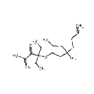 C=CCOC(C)(CCC)CCOC(CC)(CC)C(=O)C(=C)C